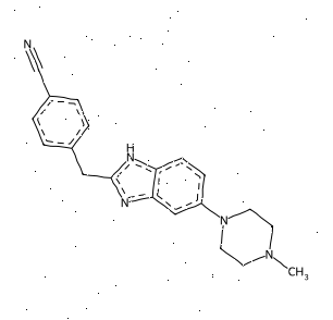 CN1CCN(c2ccc3[nH]c(Cc4ccc(C#N)cc4)nc3c2)CC1